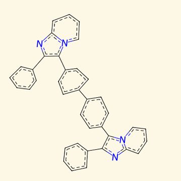 c1ccc(-c2nc3ccccn3c2-c2ccc(-c3ccc(-c4c(-c5ccccc5)nc5ccccn45)cc3)cc2)cc1